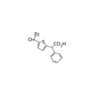 CCC(=O)c1ccc(C(C(=O)O)c2ccccc2)s1